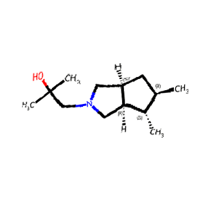 C[C@@H]1[C@H]2CN(CC(C)(C)O)C[C@H]2C[C@H]1C